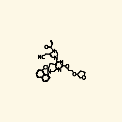 C=CC(=O)N1CCN(c2nc(OCCOC3CCOC3)nc3c2CCN(c2cccc4cccc(Cl)c24)C3)C=C1CC#N